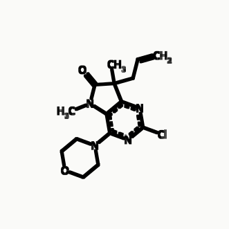 C=CCC1(C)C(=O)N(C)c2c(N3CCOCC3)nc(Cl)nc21